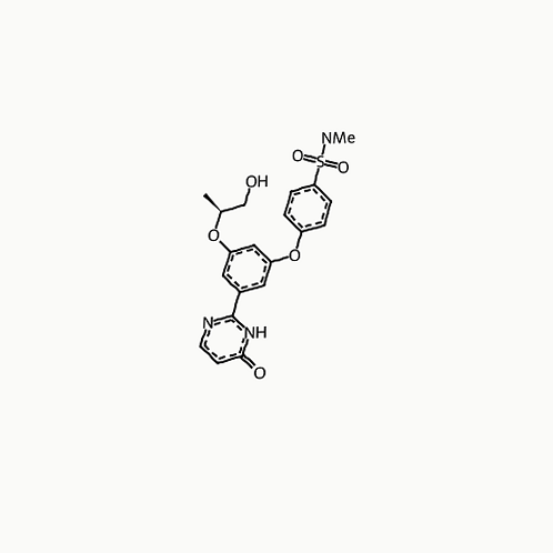 CNS(=O)(=O)c1ccc(Oc2cc(O[C@@H](C)CO)cc(-c3nccc(=O)[nH]3)c2)cc1